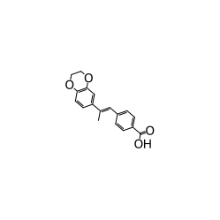 CC(=Cc1ccc(C(=O)O)cc1)c1ccc2c(c1)OCCO2